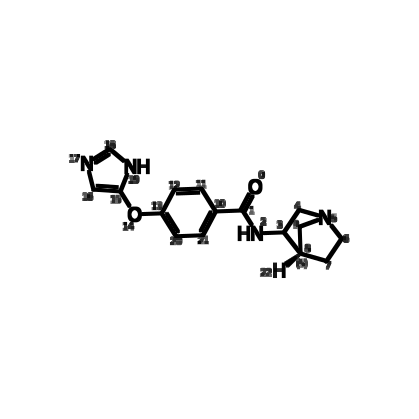 O=C(NC1CN2CC[C@H]1C2)c1ccc(Oc2cnc[nH]2)cc1